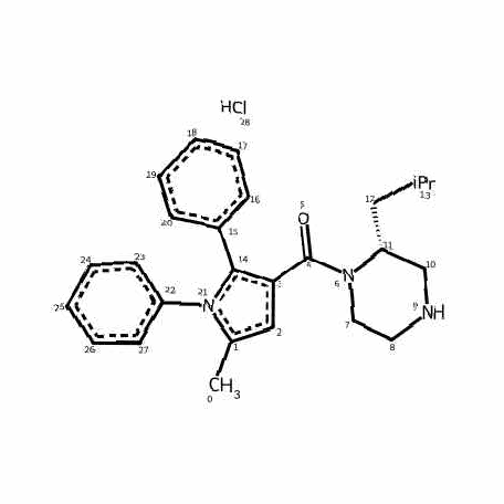 Cc1cc(C(=O)N2CCNC[C@H]2CC(C)C)c(-c2ccccc2)n1-c1ccccc1.Cl